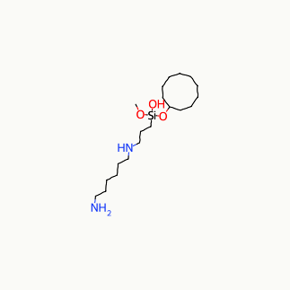 CO[Si](O)(CCCNCCCCCCN)OC1CCCCCCCCC1